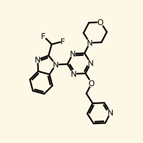 FC(F)c1nc2ccccc2n1-c1nc(OCc2cccnc2)nc(N2CCOCC2)n1